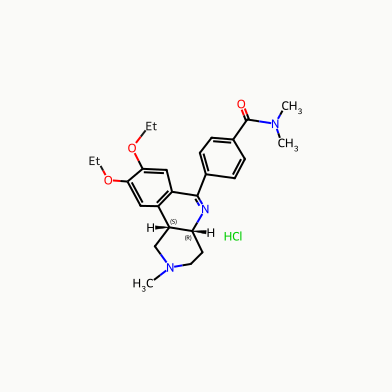 CCOc1cc2c(cc1OCC)[C@H]1CN(C)CC[C@H]1N=C2c1ccc(C(=O)N(C)C)cc1.Cl